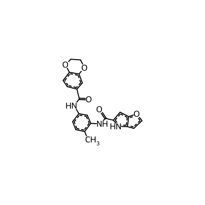 Cc1ccc(NC(=O)c2ccc3c(c2)OCCO3)cc1NC(=O)c1cc2occc2[nH]1